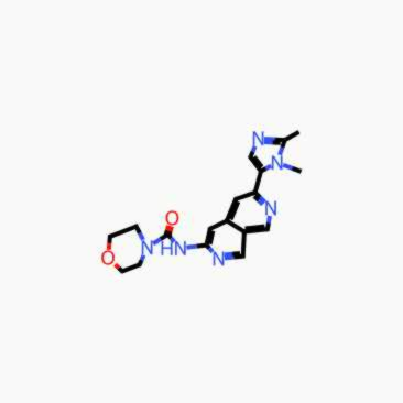 Cc1ncc(-c2cc3cc(NC(=O)N4CCOCC4)ncc3cn2)n1C